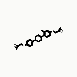 Cc1cc(OCC2CO2)ccc1C1=CCC(c2ccc(OCC3CO3)cc2)CC1